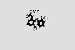 CC/N=C1\C=CC=C(CC(=O)OC)\C1=N\c1ccccc1C